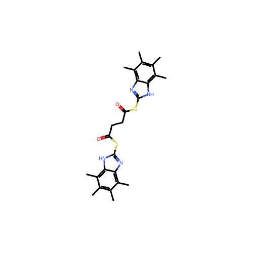 Cc1c(C)c(C)c2[nH]c(SC(=O)CCC(=O)Sc3nc4c(C)c(C)c(C)c(C)c4[nH]3)nc2c1C